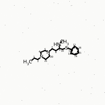 CCCN1CCN(CCC(CSc2ccccc2)NC)CC1